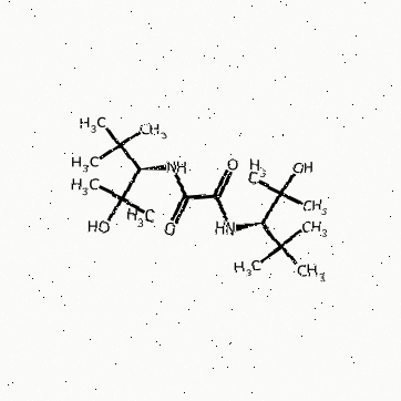 CC(C)(C)[C@@H](NC(=O)C(=O)N[C@H](C(C)(C)C)C(C)(C)O)C(C)(C)O